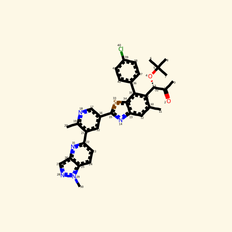 CC(=O)[C@@H](OC(C)(C)C)c1c(C)cc2nc(-c3cnc(C)c(-c4ccc5c(cnn5C)n4)c3)sc2c1-c1ccc(Cl)cc1